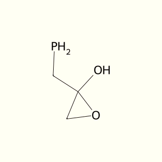 OC1(CP)CO1